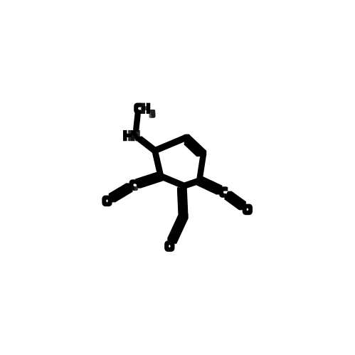 CNC1C=CC(=C=O)C(=C=O)C1=C=O